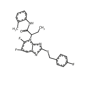 CCC(C(=O)Nc1ccccc1C)n1c2nc(SCc3ccc(F)cc3)nc-2cc(F)c1F